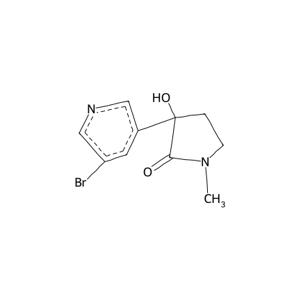 CN1CCC(O)(c2cncc(Br)c2)C1=O